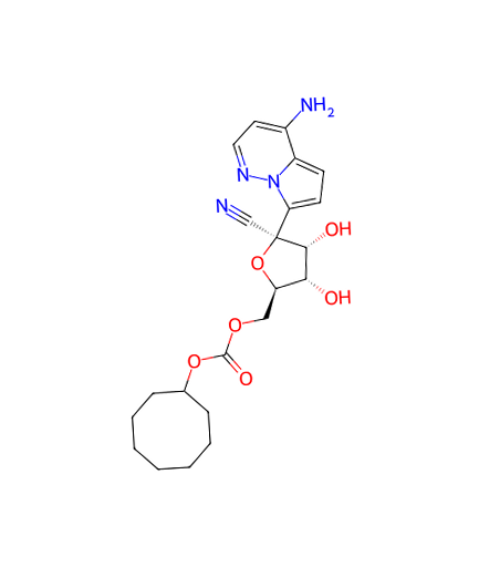 N#C[C@@]1(c2ccc3c(N)ccnn23)O[C@H](COC(=O)OC2CCCCCCC2)[C@@H](O)[C@H]1O